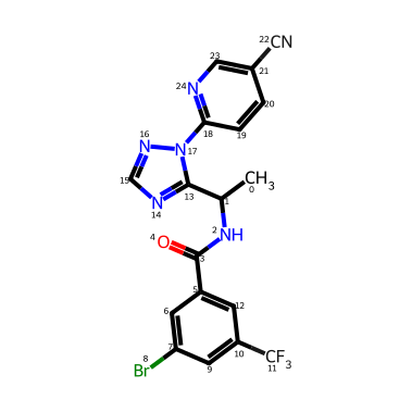 CC(NC(=O)c1cc(Br)cc(C(F)(F)F)c1)c1ncnn1-c1ccc(C#N)cn1